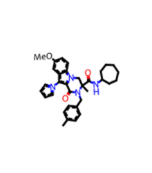 COc1ccc2c(c1)c(-n1cccc1)c1n2CC(C)(C(=O)NC2CCCCCC2)N(Cc2ccc(C)cc2)C1=O